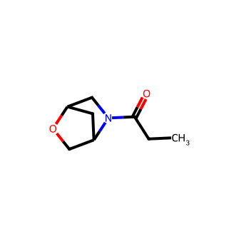 CCC(=O)N1CC2CC1CO2